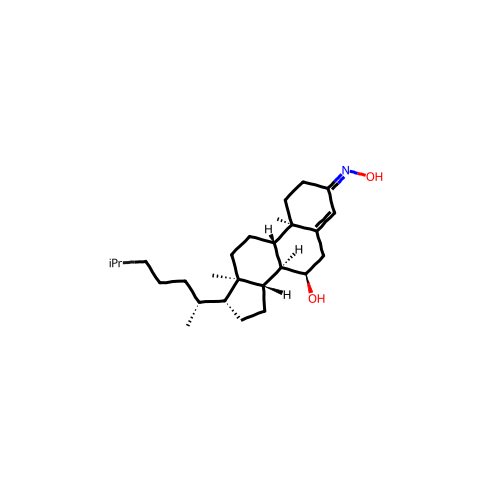 CC(C)CCC[C@@H](C)[C@H]1CC[C@H]2[C@@H]3[C@H](O)CC4=CC(=NO)CC[C@]4(C)[C@H]3CC[C@]12C